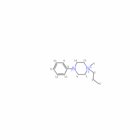 CCC[N+]1(C)CCN(c2ccccc2)CC1